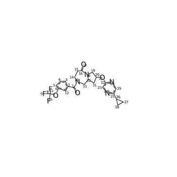 O=C(c1cccc(OC(F)(F)F)c1)N1CCC(=O)N2CC(Oc3cnc(C4CC4)cn3)CC2C1